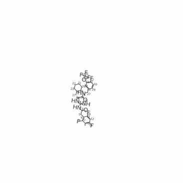 N=C(NC(=O)Cc1c(F)cc(F)cc1F)N[C@H](CC1CCCCC1)C(=O)NCc1ccc(F)c(OC(F)(F)F)c1